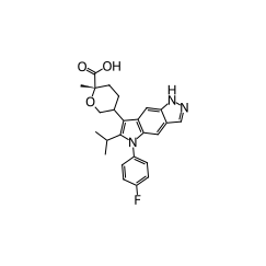 CC(C)c1c(C2CC[C@@](C)(C(=O)O)OC2)c2cc3[nH]ncc3cc2n1-c1ccc(F)cc1